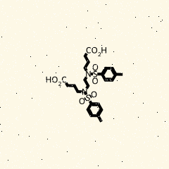 Cc1ccc(S(=O)(=O)N(CCCC(=O)O)CCN(CCCC(=O)O)S(=O)(=O)c2ccc(C)cc2)cc1